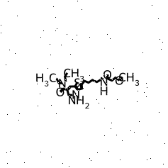 CCCN(CCC)C(=O)C1=Cc2sc(CCCCCNC(=O)CCOC)cc2N=C(N)C1